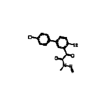 C=NN(C)C(=O)C(=O)c1cc(-c2ccc(Cl)cc2)ccc1CC